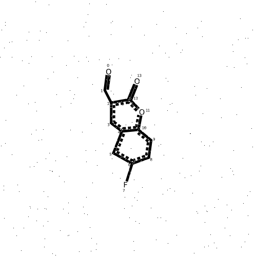 O=Cc1cc2cc(F)ccc2oc1=O